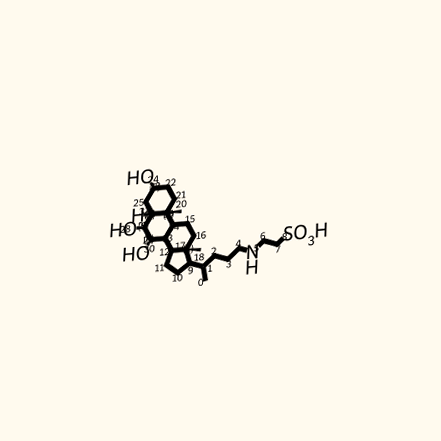 CC(CCCNCCS(=O)(=O)O)C1CCC2C3C(CC[C@]12C)[C@@]1(C)CC[C@@H](O)C[C@H]1[C@H](O)[C@@H]3O